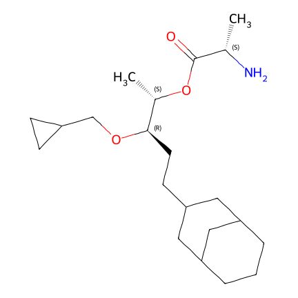 C[C@H](N)C(=O)O[C@@H](C)[C@@H](CCC1CC2CCCC(C2)C1)OCC1CC1